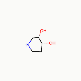 O[C@@H]1CC[N]C[C@@H]1O